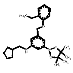 CC1(C)OB(c2cc(COc3ccccc3CC(=O)O)cc(NCC3CCCC3)c2)OC1(C)C